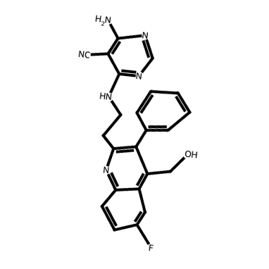 N#Cc1c(N)ncnc1NCCc1nc2ccc(F)cc2c(CO)c1-c1ccccc1